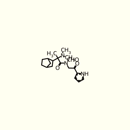 CN(C)C(C)(C(=O)N(C=O)CC(=O)c1ccc[nH]1)C1CC2CCC1C2